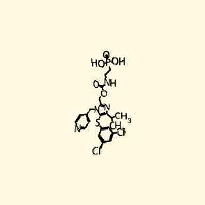 CC(C)c1nc(COC(=O)NCCP(=O)(O)O)n(Cc2ccncc2)c1Sc1cc(Cl)cc(Cl)c1